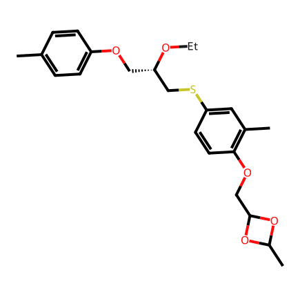 CCO[C@@H](COc1ccc(C)cc1)CSc1ccc(OCC2OC(C)O2)c(C)c1